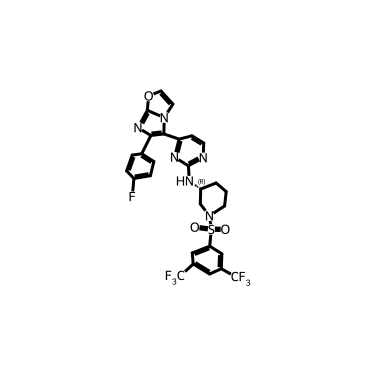 O=S(=O)(c1cc(C(F)(F)F)cc(C(F)(F)F)c1)N1CCC[C@@H](Nc2nccc(-c3c(-c4ccc(F)cc4)nc4occn34)n2)C1